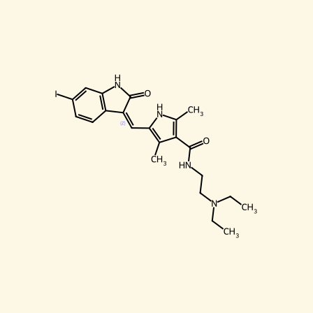 CCN(CC)CCNC(=O)c1c(C)[nH]c(/C=C2\C(=O)Nc3cc(I)ccc32)c1C